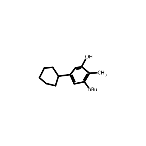 CCCCc1cc(C2CCCCC2)cc(O)c1C